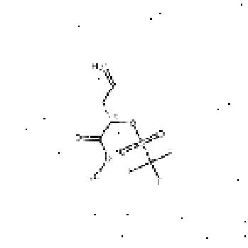 C=CC[C@H](OS(=O)(=O)C(F)(F)F)C(=O)OC